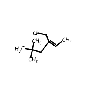 C/C=C(\CCl)CC(C)(C)C